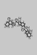 O=C(Nc1ccc2[nH]c(C(=O)N3CCC4C3=CC(=O)c3ccccc34)cc2c1)c1cc2ccccc2[nH]1